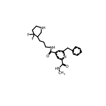 CNC(=O)c1cc(C(=O)NCCCC2CNCCC2(F)F)cc(Cc2ccccc2)n1